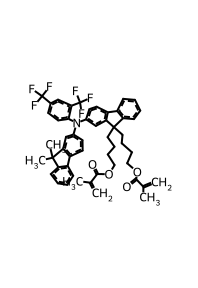 C=C(C)C(=O)OCCCCC1(CCCCOC(=O)C(=C)C)c2ccccc2-c2ccc(N(c3ccc4c(c3)C(C)(C)c3ccccc3-4)c3ccc(C(F)(F)F)cc3C(F)(F)F)cc21